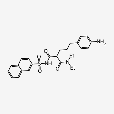 CCN(CC)C(=O)C(CCCc1ccc(N)cc1)C(=O)NS(=O)(=O)c1ccc2ccccc2c1